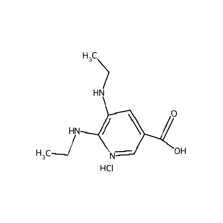 CCNc1cc(C(=O)O)cnc1NCC.Cl